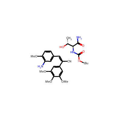 COc1ccc(C=C(C#N)c2cc(OC)c(OC)c(OC)c2)cc1N.C[C@@H](O)[C@H](NC(=O)OC(C)(C)C)C(N)=O